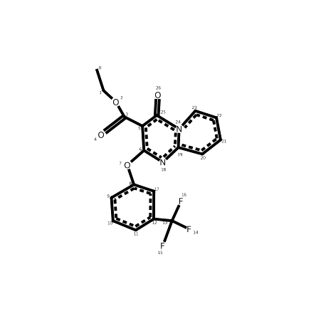 CCOC(=O)c1c(Oc2cccc(C(F)(F)F)c2)nc2ccccn2c1=O